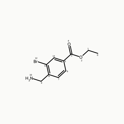 CCOC(=O)c1ccc(CN)c(Br)c1